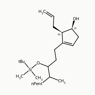 C=CC[C@@H]1C(CCC(O[Si](C)(C)C(C)(C)C)C(C)CCCCC)=CC[C@@H]1O